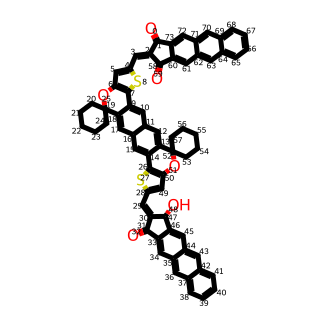 O=C1C(=Cc2cc3c(s2)C2=CC4C=C5C(=CC4C=C2C2(CCCCC2)O3)c2sc(/C=C3/C(=O)c4cc6cc7ccccc7cc6cc4C3O)cc2OC52CCCCC2)C(=O)c2cc3cc4ccccc4cc3cc21